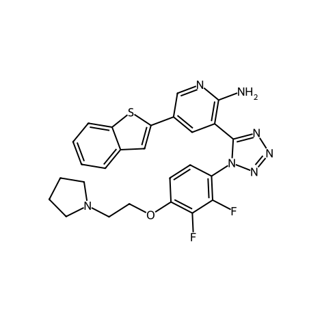 Nc1ncc(-c2cc3ccccc3s2)cc1-c1nnnn1-c1ccc(OCCN2CCCC2)c(F)c1F